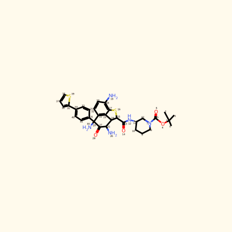 CC(C)(C)OC(=O)N1CCC[C@@H](NC(=O)C2Sc3c(N)ccc4c3C2C(N)C(=O)C4(N)c2ccc(-c3cccs3)cc2)C1